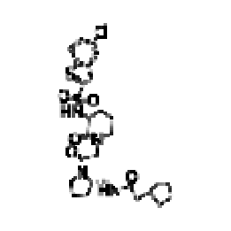 O=C(CC1CCCC1)NC[C@@H]1CCCN1C(=O)CN1CCCC(NS(=O)(=O)c2cc3cc(Cl)ccc3s2)C1=O